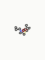 c1ccc(C(c2ccccc2)c2ccccc2-c2ccc3sc4cc(N(c5cccc(-c6cccc7ccccc67)c5)c5ccccc5C(c5ccccc5)c5ccccc5)ccc4c3c2)cc1